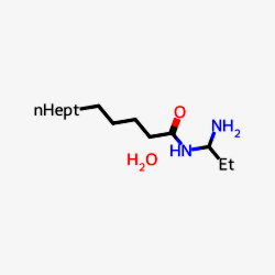 CCCCCCCCCCCC(=O)NC(N)CC.O